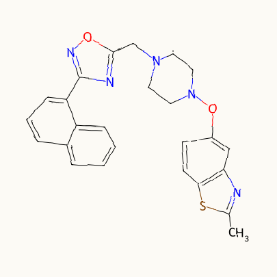 Cc1nc2cc(ON3C[CH]N(Cc4nc(-c5cccc6ccccc56)no4)CC3)ccc2s1